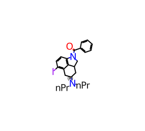 CCCN(CCC)[C@H]1Cc2c(I)ccc3c2C(C1)CN3C(=O)c1ccccc1